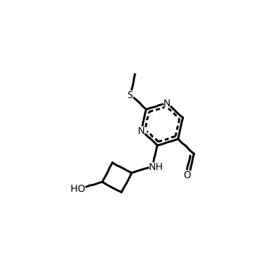 CSc1ncc(C=O)c(NC2CC(O)C2)n1